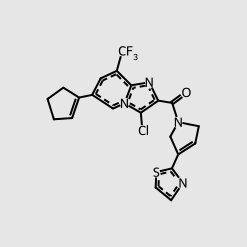 O=C(c1nc2c(C(F)(F)F)cc(C3=CCCC3)cn2c1Cl)N1CC=C(c2nccs2)C1